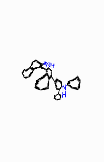 c1ccc(Nc2ccc(-c3cc4[nH]c5ccc6ccccc6c5c4c4ccccc34)cc2-c2ccccc2)cc1